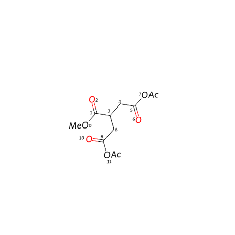 COC(=O)C(CC(=O)OC(C)=O)CC(=O)OC(C)=O